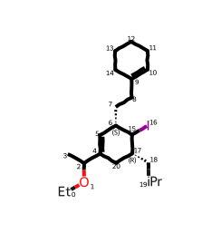 CCOC(C)C1=C[C@H](CCC2=CCCCC2)C(I)[C@H](CC(C)C)C1